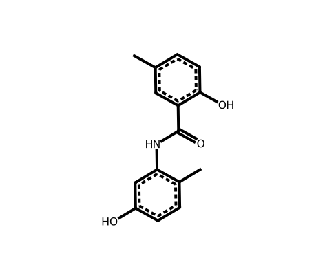 Cc1ccc(O)c(C(=O)Nc2cc(O)ccc2C)c1